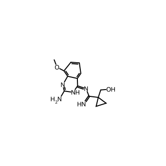 COc1cccc2/c(=N/C(=N)C3(CO)CC3)[nH]c(N)nc12